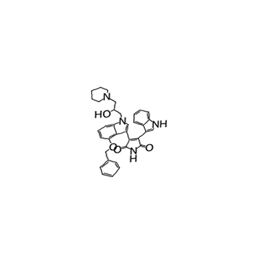 O=C1NC(=O)C(c2cn(CC(O)CN3CCCCC3)c3cccc(OCc4ccccc4)c23)=C1c1c[nH]c2ccccc12